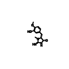 COc1ccc(/C=C2/C(=O)NC(=N)N2C)cc1O